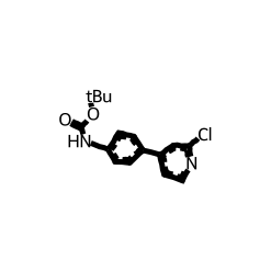 CC(C)(C)OC(=O)Nc1ccc(-c2ccnc(Cl)c2)cc1